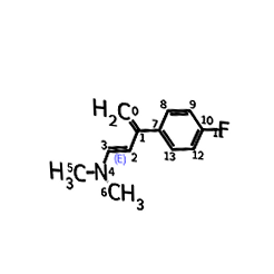 C=C(/C=C/N(C)C)c1ccc(F)cc1